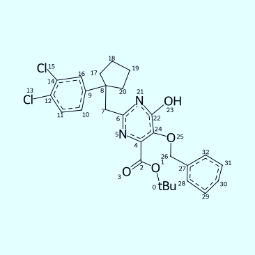 CC(C)(C)OC(=O)c1nc(CC2(c3ccc(Cl)c(Cl)c3)CCCC2)nc(O)c1OCc1ccccc1